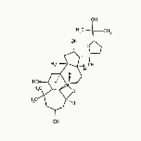 CC1(C)CC(O)C[C@@H]2O[C@H]3[C@@]45CC[C@]6(C)[C@@H]([C@@]7(C)CC[C@@H](C(C)(C)O)O7)[C@@H](O)C[C@@]6(C)[C@@H]4C[C@H](O)C1[C@@]235